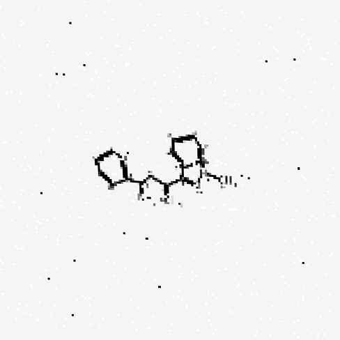 C=C(CC(N)c1ccccc1)c1nn(C)c2ccccc12